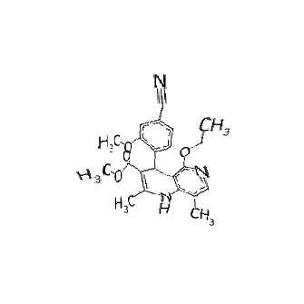 CCOc1ncc(C)c2c1C(c1ccc(C#N)cc1OC)C(C(=O)OC)=C(C)N2